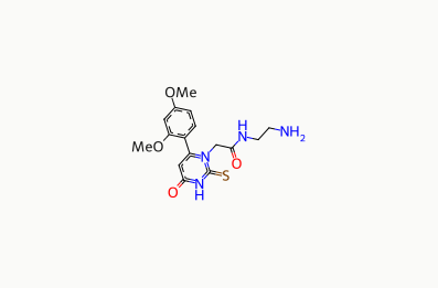 COc1ccc(-c2cc(=O)[nH]c(=S)n2CC(=O)NCCN)c(OC)c1